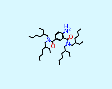 CCCCC(CC)CN(CC(CC)CCCC)C(=O)c1ccc(N)c(C(=O)N(CC(CC)CCCC)CC(CC)CCCC)c1